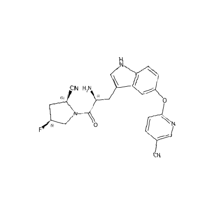 N#Cc1ccc(Oc2ccc3[nH]cc(C[C@H](N)C(=O)N4C[C@@H](F)C[C@H]4C#N)c3c2)nc1